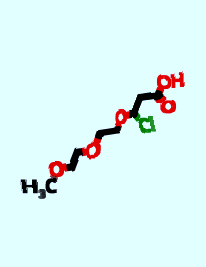 COCCOCCOC(Cl)CC(=O)O